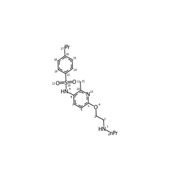 CCCNCCOc1ccc(NS(=O)(=O)c2ccc(C(C)C)cc2)c(C)n1